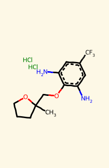 CC1(COc2c(N)cc(C(F)(F)F)cc2N)CCCO1.Cl.Cl